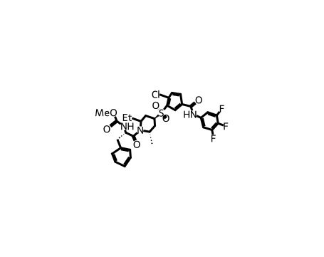 CCC1C[C@@H](S(=O)(=O)c2cc(C(=O)Nc3cc(F)c(F)c(F)c3)ccc2Cl)C[C@H](C)N1C(=O)[C@H](Cc1ccccc1)NC(=O)OC